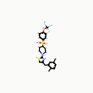 Cc1ccc(C)c(Cc2csc(N3CCC(S(=O)(=O)c4ccc(OC(F)(F)F)cc4)CC3)n2)c1